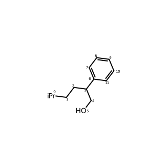 CC(C)CCC(CO)c1ccccc1